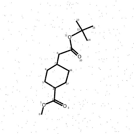 COC(=O)C1CCC(CC(=O)OC(C)(C)C)CC1